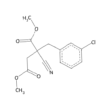 COC(=O)CC(C#N)(Cc1cccc(Cl)c1)C(=O)OC